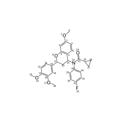 COc1ccc2c(c1)OC(c1ccc(OC)c(OC)c1)CC2N(C(=O)C1CC1)c1ccc(F)cc1